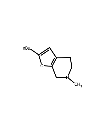 CCCCc1cc2c(o1)CN(C)CC2